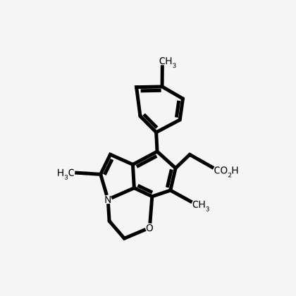 Cc1ccc(-c2c(CC(=O)O)c(C)c3c4c2cc(C)n4CCO3)cc1